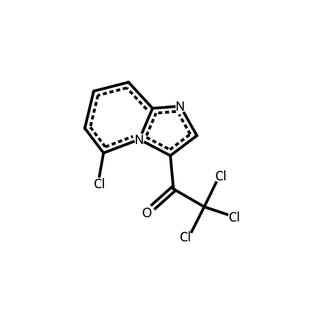 O=C(c1cnc2cccc(Cl)n12)C(Cl)(Cl)Cl